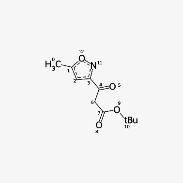 Cc1cc(C(=O)CC(=O)OC(C)(C)C)no1